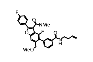 C=CCCNC(=O)c1cccc(-c2c(COC)cc3oc(-c4ccc(F)cc4)c(C(=O)NC)c3c2F)c1